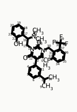 Cc1c(-c2cccc(C(C)C)c2)c(=O)n(CC(c2ccccc2O)N(C)C)c(=O)n1Cc1c(F)cccc1C(F)(F)F